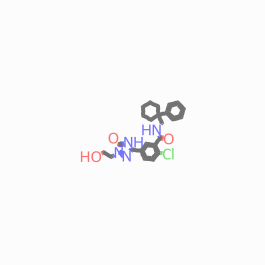 O=C(NCC1(c2ccccc2)CCCCC1)c1cc(-c2nn(CCO)c(=O)[nH]2)ccc1Cl